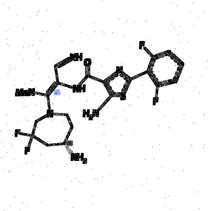 CN/C(=C(\C=N)NC(=O)c1nc(-c2c(F)cccc2F)sc1N)N1CC[C@H](N)CC(F)(F)C1